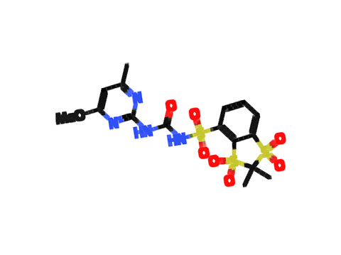 COc1cc(C)nc(NC(=O)NS(=O)(=O)c2cccc3c2S(=O)(=O)C(C)(C)S3(=O)=O)n1